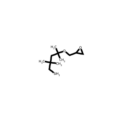 CC(C)(C[SiH3])CC(C)(C)OCC1CO1